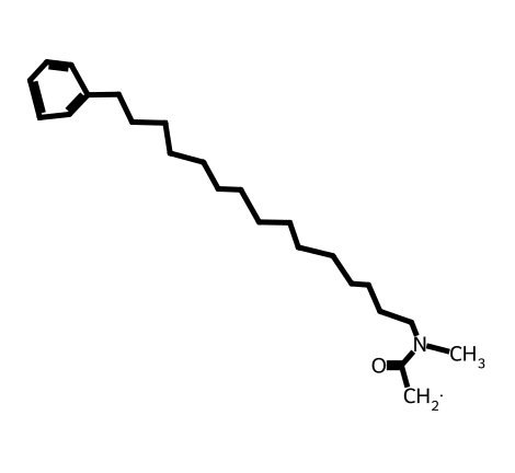 [CH2]C(=O)N(C)CCCCCCCCCCCCCCCc1ccccc1